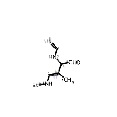 CCN/C=C(\C)C(C=O)NC=N